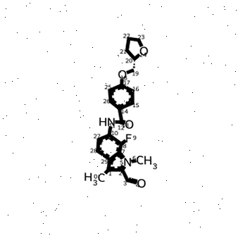 Cc1c(C=O)n(C)c2c(F)c(NC(=O)c3ccc(OC[C@@H]4CCCO4)cc3)ccc12